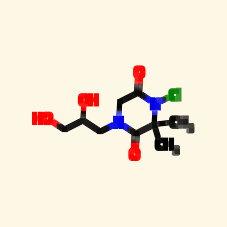 CC1(C)C(=O)N(CC(O)CO)CC(=O)N1Cl